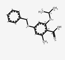 Cc1cc(OCc2ccccc2)cc(OC(C)C)c1C(=O)O